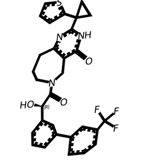 O=C([C@H](O)c1cccc(-c2cccc(C(F)(F)F)c2)c1)N1CCCc2nc(C3(c4cccs4)CC3)[nH]c(=O)c2C1